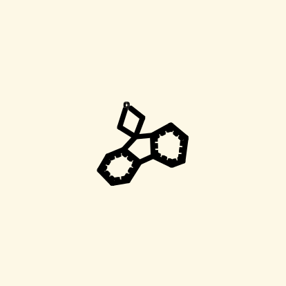 c1ccc2c(c1)-c1ccccc1C21COC1